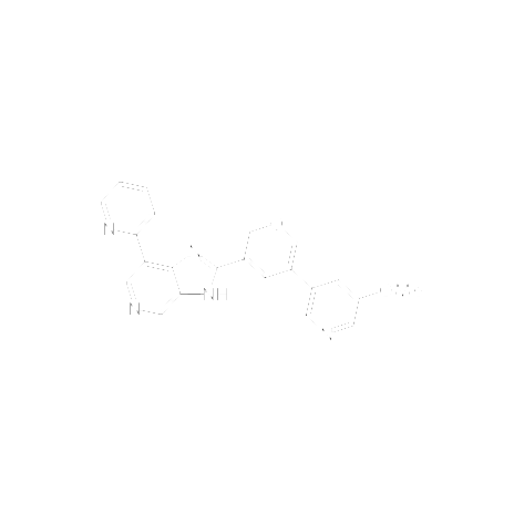 COc1cncc(C2=COCC(c3nc4c(-c5ccccn5)cncc4[nH]3)=C2)c1